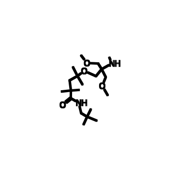 CNC(COC)(COC)COC(C)(C)CC(C)(C)C(=O)NCC(C)(C)C